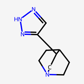 c1n[nH]nc1C1CN2CCC1CC2